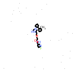 Cc1ccccc1-c1ccccc1N1CCNC(CCOCCC(=O)NCc2ccc(F)nc2)C1